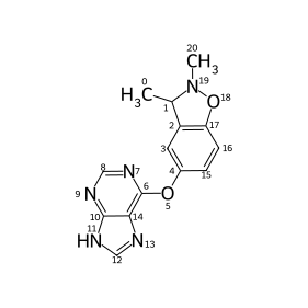 CC1c2cc(Oc3ncnc4[nH]cnc34)ccc2ON1C